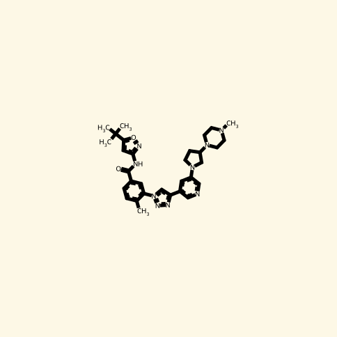 Cc1ccc(C(=O)Nc2cc(C(C)(C)C)on2)cc1-n1cc(-c2cncc(N3CCC(N4CCN(C)CC4)C3)c2)nn1